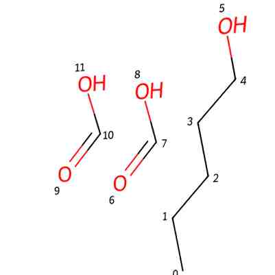 CCCCCO.O=CO.O=CO